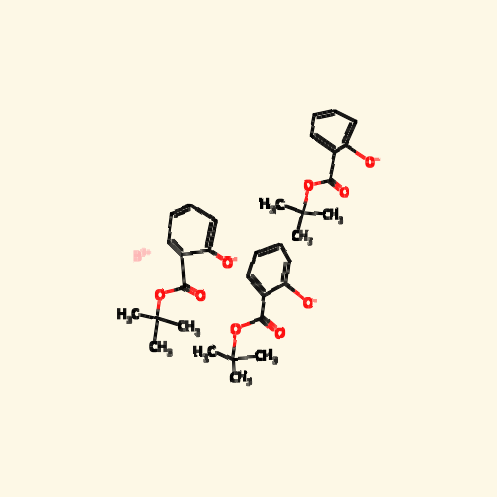 CC(C)(C)OC(=O)c1ccccc1[O-].CC(C)(C)OC(=O)c1ccccc1[O-].CC(C)(C)OC(=O)c1ccccc1[O-].[B+3]